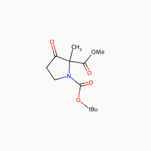 COC(=O)C1(C)C(=O)CCN1C(=O)OC(C)(C)C